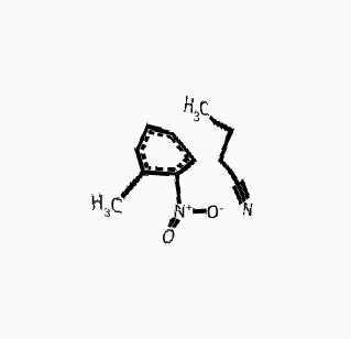 CCCC#N.Cc1ccccc1[N+](=O)[O-]